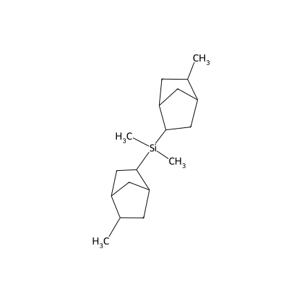 CC1CC2CC1CC2[Si](C)(C)C1CC2CC1CC2C